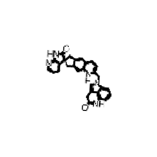 O=C1Cc2cn(CC3=CCc4cc5c(cc4N3)C[C@]3(C5)C(=O)Nc4ncccc43)c3cccc(c23)N1